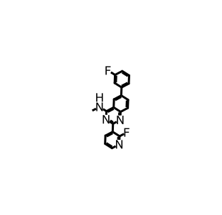 CNc1nc(-c2cccnc2F)nc2ccc(-c3cccc(F)c3)cc12